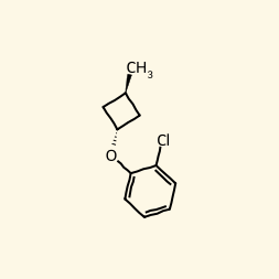 C[C@H]1C[C@H](Oc2ccccc2Cl)C1